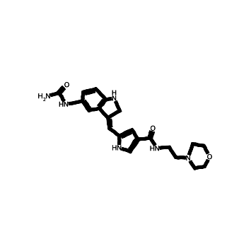 NC(=O)Nc1ccc2c(c1)C(=Cc1cc(C(=O)NCCN3CCOCC3)c[nH]1)CN2